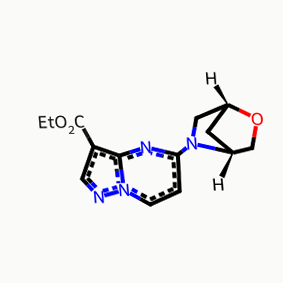 CCOC(=O)c1cnn2ccc(N3C[C@H]4C[C@@H]3CO4)nc12